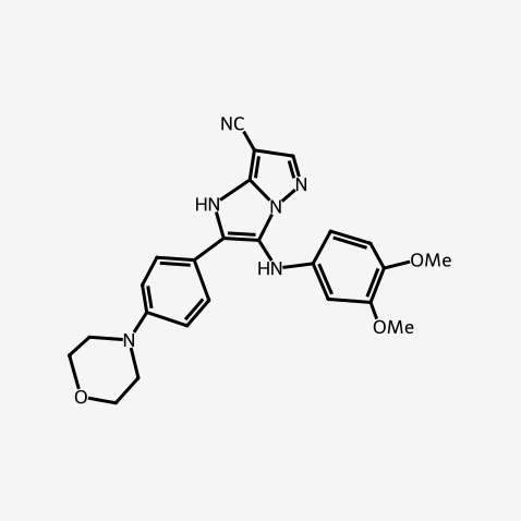 COc1ccc(Nc2c(-c3ccc(N4CCOCC4)cc3)[nH]c3c(C#N)cnn23)cc1OC